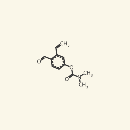 C=Cc1cc(OC(=O)N(C)C)ccc1C=O